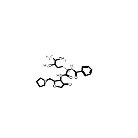 CC(C)C(C)CC[C@H](NC(=O)c1ccccc1)C(=O)NC1C(=O)COC1CN1CCCC1